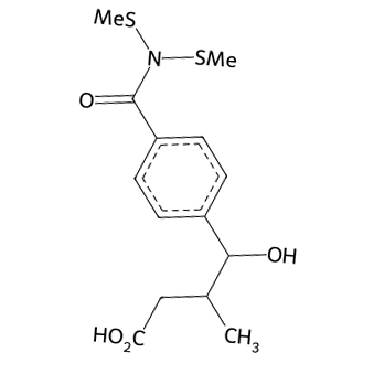 CSN(SC)C(=O)c1ccc(C(O)C(C)CC(=O)O)cc1